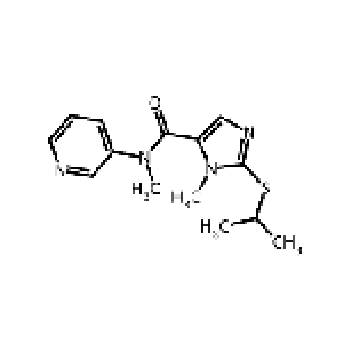 CC(C)Sc1ncc(C(=O)N(C)c2cccnc2)n1C